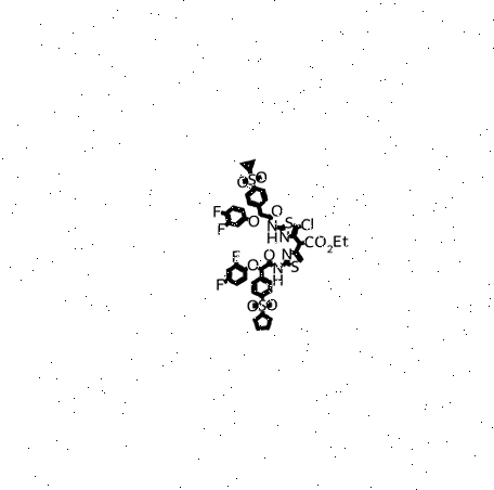 CCOC(=O)C(c1csc(NC(=O)C(Oc2ccc(F)cc2F)c2ccc(S(=O)(=O)C3CCCC3)cc2)n1)c1nc(NC(=O)C(Oc2ccc(F)c(F)c2)c2ccc(S(=O)(=O)C3CC3)cc2)sc1Cl